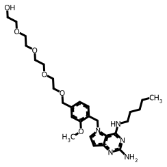 CCCCCNc1nc(N)nc2ccn(Cc3ccc(COCCOCCOCCOCCO)cc3OC)c12